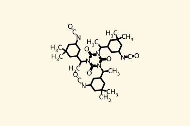 CC(C1CC(N=C=O)CC(C)(C)C1)n1c(=O)n(C(C)C2CC(N=C=O)CC(C)(C)C2)c(=O)n(C(C)C2CC(N=C=O)CC(C)(C)C2)c1=O